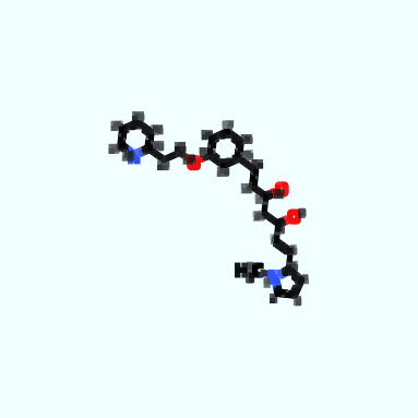 Cn1cccc1/C=C/C(=O)CC(=O)/C=C/c1cccc(OCCc2ccccn2)c1